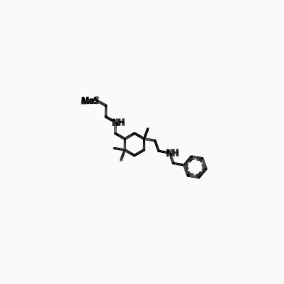 CSCCNCC1CC(C)(CCNCc2ccccc2)CCC1(C)C